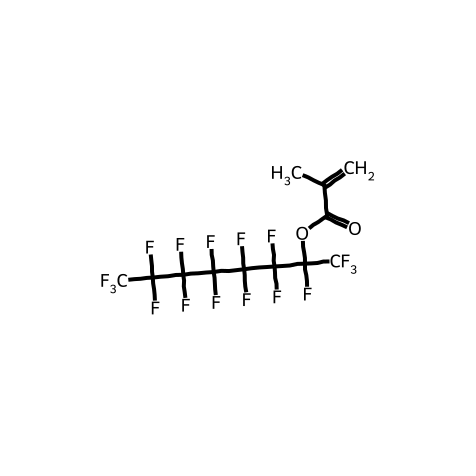 C=C(C)C(=O)OC(F)(C(F)(F)F)C(F)(F)C(F)(F)C(F)(F)C(F)(F)C(F)(F)C(F)(F)F